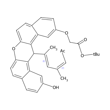 CC(=O)/C=C(C)\C=C(/C)C1c2c(ccc3ccc(O)cc23)Oc2ccc3ccc(OCC(=O)OC(C)(C)C)cc3c21